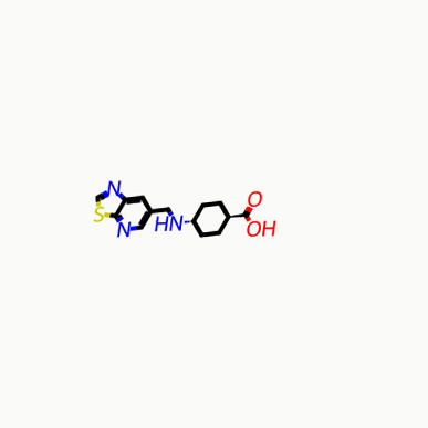 O=C(O)[C@H]1CC[C@H](NCc2cnc3scnc3c2)CC1